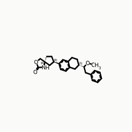 COC(Cc1ccccc1)[C@H]1CCc2cc([C@@H]3CC[C@]4(COC(=O)N4)C3)ccc2C1